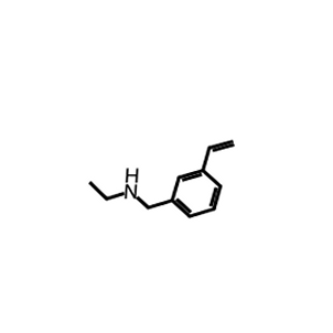 C=Cc1cccc(CNCC)c1